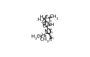 CC(C)CSc1nc(C(=O)N[C@@H](CC(C)C)C(N)=O)ccc1C1CC1